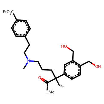 CCOC(=O)c1ccc(CCN(C)CCCC(C(=O)OC)(c2ccc(CO)c(CO)c2)C(C)C)cc1